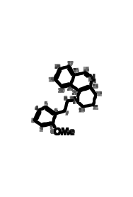 COc1ccccc1CCN1CCCc2ncc3ccccc3c21